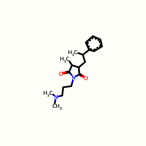 CC(CC1C(=O)N(CCCN(C)C)C(=O)C1C)c1ccccc1